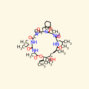 C/C=C(\C)[C@H]1OC(=O)[C@@H](C)NC(=O)[C@H](C(C)CC)NC(=O)CN(C)C(=O)[C@@H](CC2CCCCC2)N(C)C(=O)[C@H](C)NC(=O)[C@@H](CC(C)C)NC(=O)/C(C)=C/C[C@H](O)[C@@H]1C